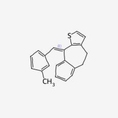 Cc1cccc(/C=C2\c3ccccc3CCc3ccsc32)c1